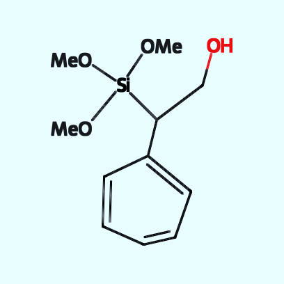 CO[Si](OC)(OC)C(CO)c1ccccc1